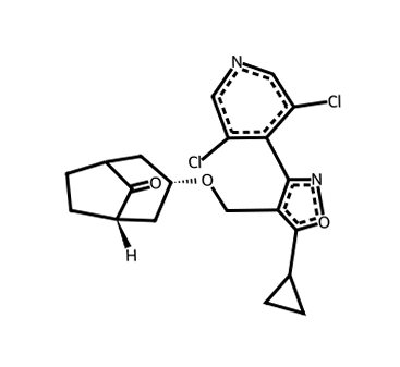 O=C1C2CC[C@H]1C[C@@H](OCc1c(-c3c(Cl)cncc3Cl)noc1C1CC1)C2